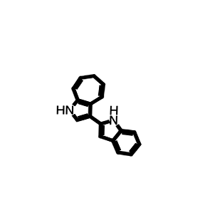 C1=Cc2[nH]cc(-c3cc4ccccc4[nH]3)c2C=CC1